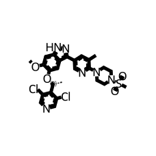 COc1cc2[nH]nc(-c3cnc(N4CCN(S(C)(=O)=O)CC4)c(C)c3)c2cc1O[C@H](C)c1c(Cl)cncc1Cl